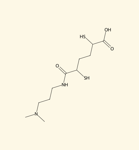 CN(C)CCCNC(=O)C(S)CCC(S)C(=O)O